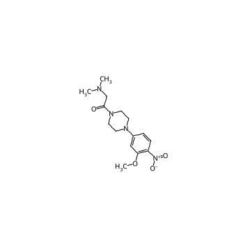 COc1cc(N2CCN(C(=O)CN(C)C)CC2)ccc1[N+](=O)[O-]